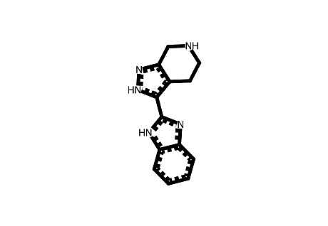 c1ccc2[nH]c(-c3[nH]nc4c3CCNC4)nc2c1